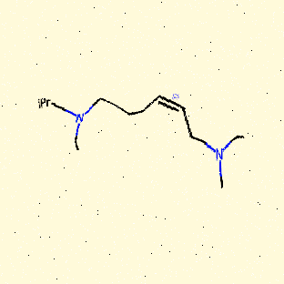 CC(C)N(C)CC/C=C\CN(C)C